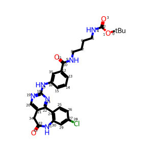 CC(C)(C)OC(=O)NCCCCNC(=O)c1cccc(Nc2ncc3c(n2)-c2ccc(Cl)cc2NC(=O)C3)c1